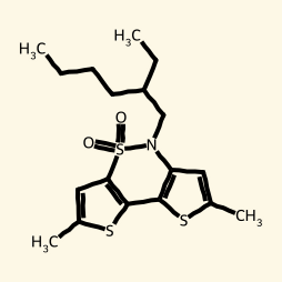 CCCCC(CC)CN1c2cc(C)sc2-c2sc(C)cc2S1(=O)=O